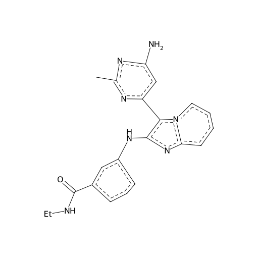 CCNC(=O)c1cccc(Nc2nc3ccccn3c2-c2cc(N)nc(C)n2)c1